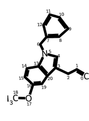 C=CCc1cn(Cc2ccccc2)c2ccc(OC)cc12